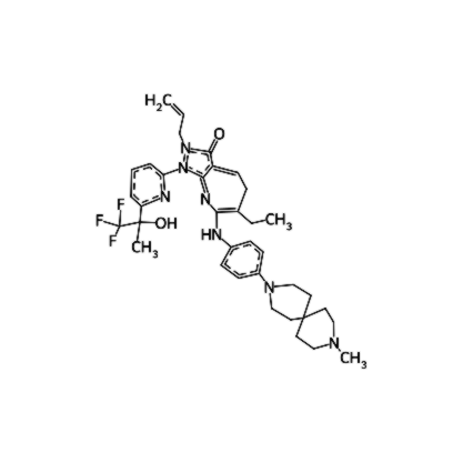 C=CCn1c(=O)c2c(n1-c1cccc(C(C)(O)C(F)(F)F)n1)=NC(Nc1ccc(N3CCC4(CCN(C)CC4)CC3)cc1)=C(CC)CC=2